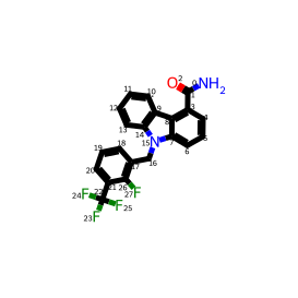 NC(=O)c1cccc2c1c1[c]cccc1n2Cc1cccc(C(F)(F)F)c1F